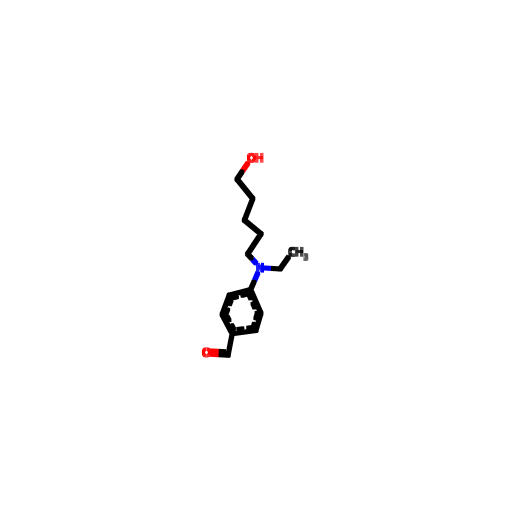 CCN(CCCCCO)c1ccc(C=O)cc1